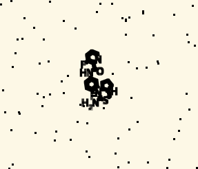 NC1=N[C@@]2(c3cc(NC(=O)c4ncccc4F)ccc3F)CCC[C@H]2CS1